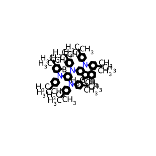 CC(C)(C)c1ccc(N(c2ccc(C(C)(C)C)cc2)c2cc3c4c(c2)N(c2cc(N(c5ccc(C(C)(C)C)cc5)c5ccc(C(C)(C)C)cc5)c5c(c2)C(C)(C)c2ccccc2-5)c2ccc(C(C)(C)C)cc2B4c2cc(C(C)(C)C)ccc2N3c2ccc(C(C)(C)C)cc2)cc1